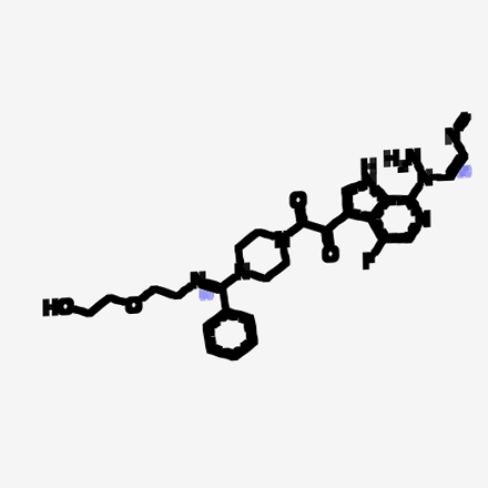 C=N/C=C\N(N)c1ncc(F)c2c(C(=O)C(=O)N3CCN(/C(=N/CCOCCO)c4ccccc4)CC3)c[nH]c12